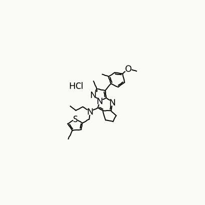 CCCN(Cc1cc(C)cs1)c1c2c(nc3c(-c4ccc(OC)cc4C)c(C)nn13)CCC2.Cl